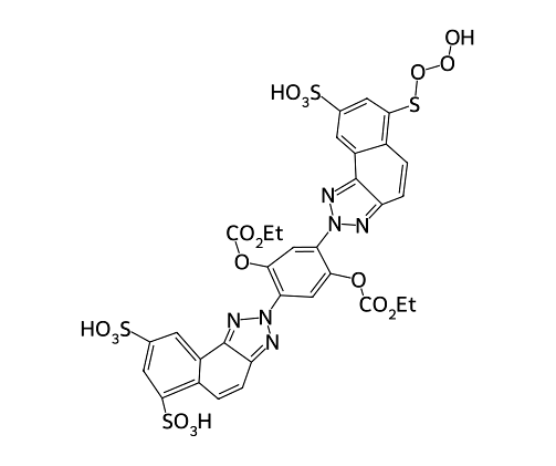 CCOC(=O)Oc1cc(-n2nc3ccc4c(S(=O)(=O)O)cc(S(=O)(=O)O)cc4c3n2)c(OC(=O)OCC)cc1-n1nc2ccc3c(SOOO)cc(S(=O)(=O)O)cc3c2n1